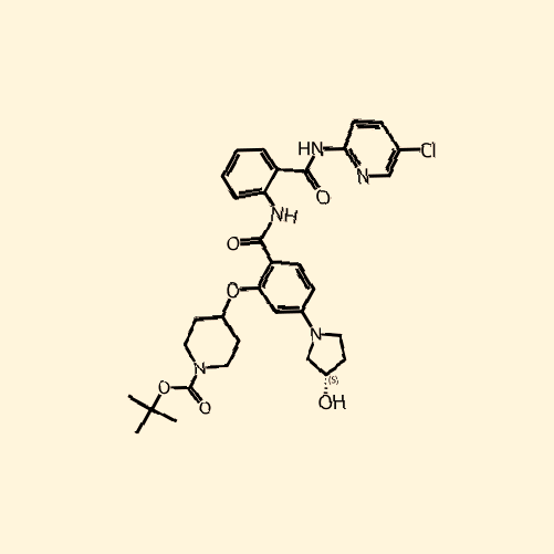 CC(C)(C)OC(=O)N1CCC(Oc2cc(N3CC[C@H](O)C3)ccc2C(=O)Nc2ccccc2C(=O)Nc2ccc(Cl)cn2)CC1